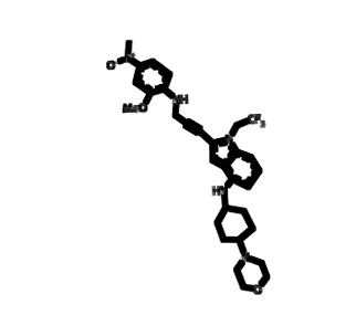 COc1cc([S+](C)[O-])ccc1NCC#Cc1cc2c(NC3CCC(N4CCOCC4)CC3)cccc2n1CC(F)(F)F